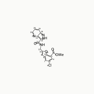 COC(=O)c1cc(Cl)cc2cc(CNC(=O)c3[nH]nc4cccnc34)oc12